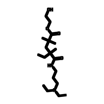 CCN(CC)CCCNC(=O)C(C)(CC)CC(C)(C)C(=O)OCCO